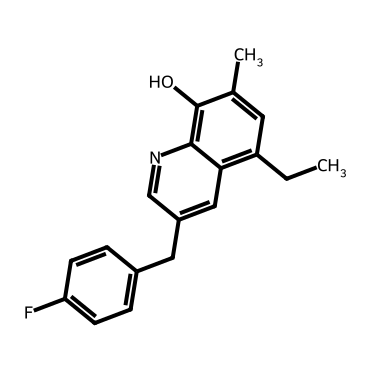 CCc1cc(C)c(O)c2ncc(Cc3ccc(F)cc3)cc12